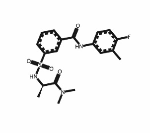 Cc1cc(NC(=O)c2cccc(S(=O)(=O)N[C@H](C)C(=O)N(C)C)c2)ccc1F